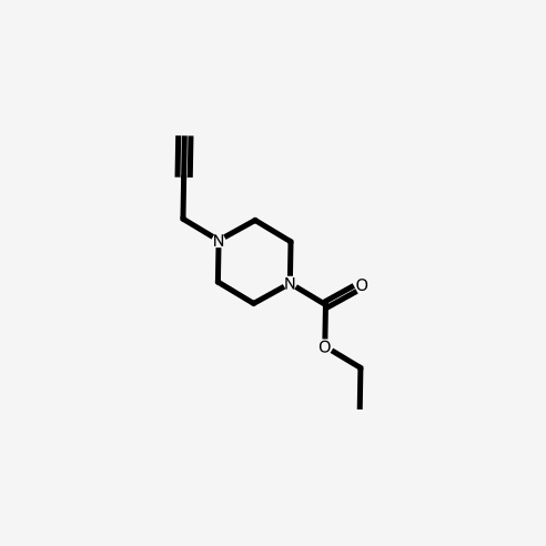 C#CCN1CCN(C(=O)OCC)CC1